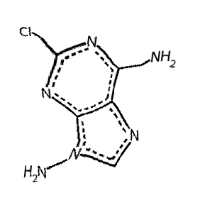 Nc1nc(Cl)nc2c1ncn2N